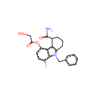 NC(=O)C1CCCc2c1c1c(OC(=O)CO)ccc(F)c1n2Cc1ccccc1